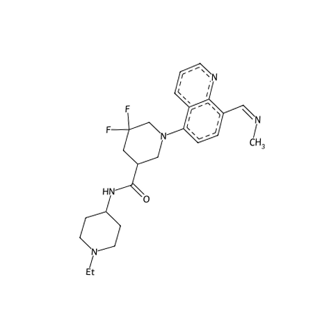 CCN1CCC(NC(=O)C2CN(c3ccc(/C=N\C)c4ncccc34)CC(F)(F)C2)CC1